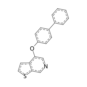 c1ccc(-c2ccc(Oc3cncc4sccc34)cc2)cc1